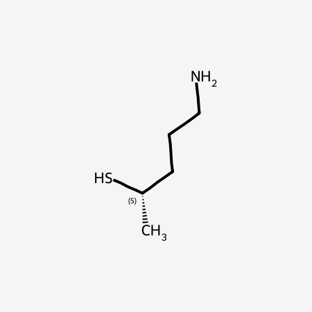 C[C@H](S)CCCN